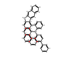 c1ccc(-c2ccc(N(c3ccccc3-c3ccccc3)c3ccccc3-c3cccc4oc5cc6ccccc6cc5c34)c(-c3ccccc3)c2)cc1